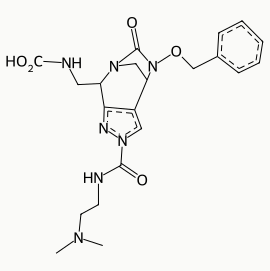 CN(C)CCNC(=O)n1cc2c(n1)C(CNC(=O)O)N1CC2N(OCc2ccccc2)C1=O